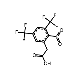 O=C(O)Cc1cc(C(F)(F)F)cc(C(F)(F)F)c1I(=O)=O